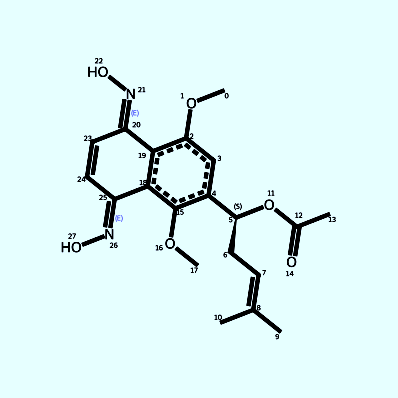 COc1cc([C@H](CC=C(C)C)OC(C)=O)c(OC)c2c1/C(=N/O)C=C/C2=N\O